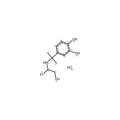 CCC(CO)NC(C)(C)c1ccc(O)c(O)c1.Cl